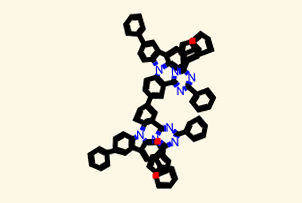 c1ccc(-c2ccc3c(c2)c2cc(-c4ccccc4)ccc2n3-c2ccc(-c3ccc(-n4c5ccc(-c6ccccc6)cc5c5cc(-c6ccccc6)ccc54)c(-c4nc(-c5ccccc5)nc(-c5ccccc5)n4)c3)cc2-c2nc(-c3ccccc3)nc(-c3ccccc3)n2)cc1